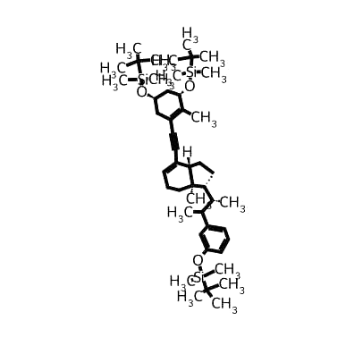 CC1=C(C#CC2=CCC[C@]3(C)[C@@H]([C@H](C)C(C)c4cccc(O[Si](C)(C)C(C)(C)C)c4)CC[C@@H]23)C[C@@H](O[Si](C)(C)C(C)(C)C)C[C@@H]1O[Si](C)(C)C(C)(C)C